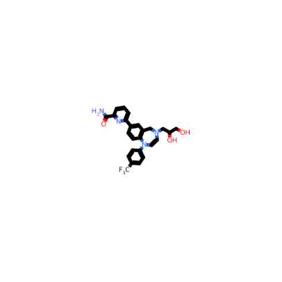 NC(=O)c1cccc(-c2ccc3c(c2)CN(CC(O)CO)C=CN3c2ccc(C(F)(F)F)cc2)n1